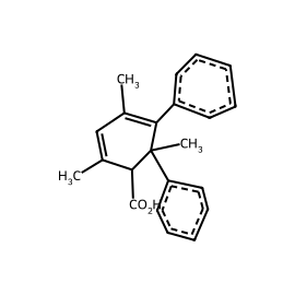 CC1=CC(C)=C(c2ccccc2)C(C)(c2ccccc2)C1C(=O)O